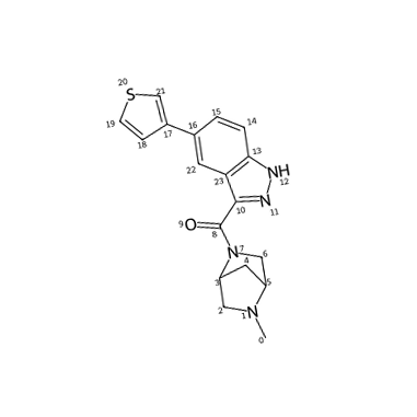 CN1CC2CC1CN2C(=O)c1n[nH]c2ccc(-c3ccsc3)cc12